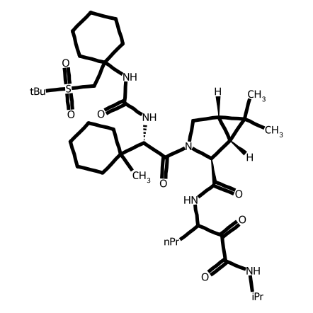 CCCC(NC(=O)[C@@H]1[C@@H]2[C@H](CN1C(=O)[C@@H](NC(=O)NC1(CS(=O)(=O)C(C)(C)C)CCCCC1)C1(C)CCCCC1)C2(C)C)C(=O)C(=O)NC(C)C